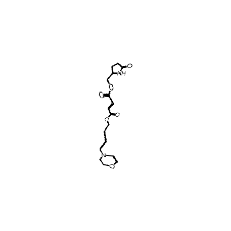 O=C1CCC(COC(=O)/C=C/C(=O)OCCCCN2CCOCC2)N1